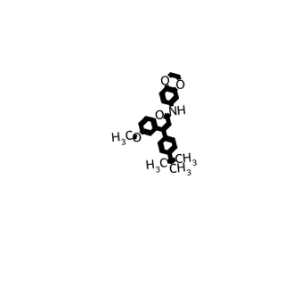 COc1cccc(/C(=C\C(=O)Nc2ccc3c(c2)OCCO3)c2ccc(C(C)(C)C)cc2)c1